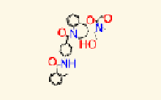 Cc1ccccc1C(=O)Nc1ccc(C(=O)N2CCCC(OC(C=O)N(C)CCO)c3ccccc32)cc1